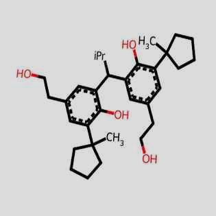 CC(C)C(c1cc(CCO)cc(C2(C)CCCC2)c1O)c1cc(CCO)cc(C2(C)CCCC2)c1O